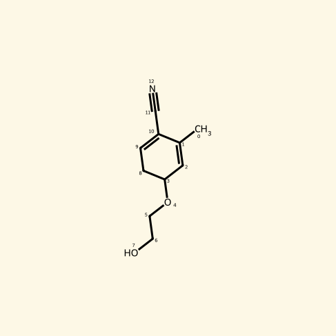 CC1=CC(OCCO)CC=C1C#N